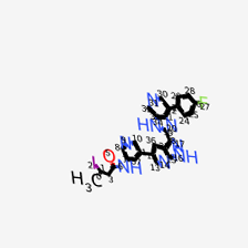 CC(I)CC(=O)Nc1cncc(-c2cnc3[nH]nc(-c4nc5c(-c6ccc(F)cc6)cncc5[nH]4)c3c2)c1